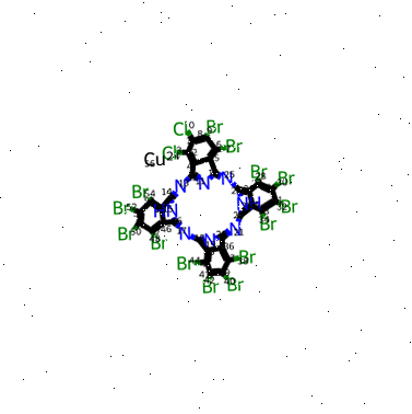 Clc1c(Cl)c2c(c(Br)c1Br)-c1nc-2nc2[nH]c(nc3nc(nc4[nH]c(n1)c1c(Br)c(Br)c(Br)c(Br)c41)-c1c(Br)c(Br)c(Br)c(Br)c1-3)c1c(Br)c(Br)c(Br)c(Br)c21.[Cu+2]